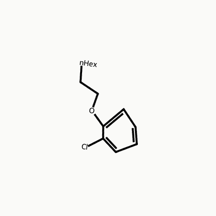 CCCCCCCCOc1ccccc1Cl